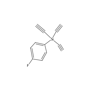 C#C[Si](C#C)(C#C)c1ccc(F)cc1